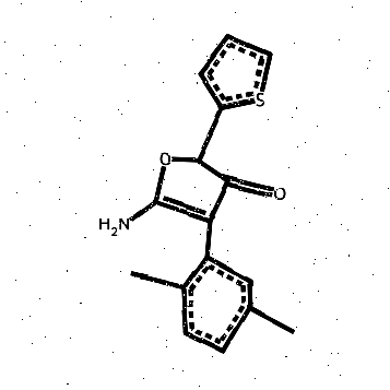 Cc1ccc(C)c(C2=C(N)OC(c3cccs3)C2=O)c1